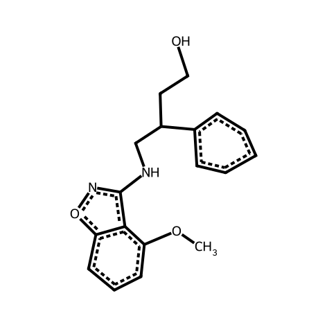 COc1cccc2onc(NCC(CCO)c3ccccc3)c12